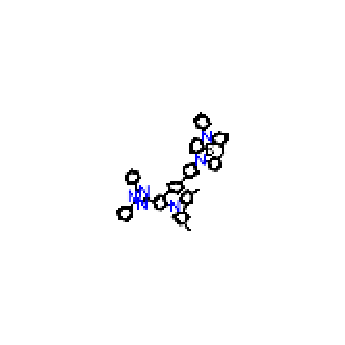 Cc1ccc2c(c1)c1cc(C)ccc1n2-c1ccc(-c2nc(-c3ccccc3)nc(-c3ccccc3)n2)cc1-c1ccc(-c2ccc(N3c4cccc5c4B4c6c(cccc6N(c6ccccc6)c6cccc3c64)C5)cc2)cc1